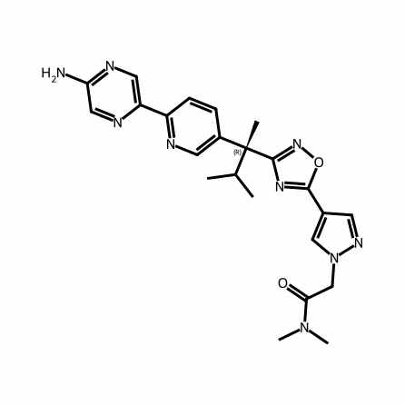 CC(C)[C@](C)(c1ccc(-c2cnc(N)cn2)nc1)c1noc(-c2cnn(CC(=O)N(C)C)c2)n1